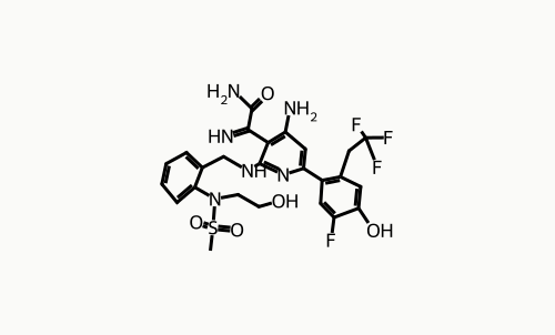 CS(=O)(=O)N(CCO)c1ccccc1CNc1nc(-c2cc(F)c(O)cc2CC(F)(F)F)cc(N)c1C(=N)C(N)=O